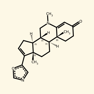 CN1C[C@@H]2[C@H](CC[C@]3(C)C(c4cnco4)=CC[C@@H]23)[C@@]2(C)CCC(=O)C=C12